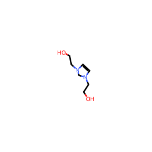 OCCN1C=CN(CCO)C1